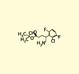 CC(C)(C)OC(=O)CCC(CN)c1c(F)ccc(F)c1Cl